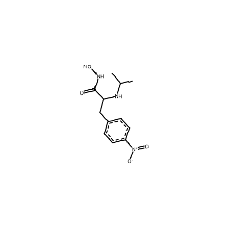 CC(C)NC(Cc1ccc([N+](=O)[O-])cc1)C(=O)NO